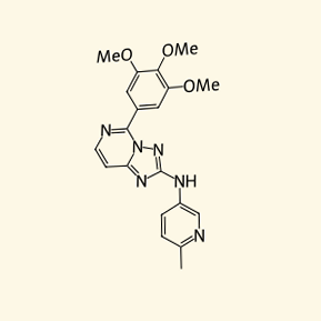 COc1cc(-c2nccc3nc(Nc4ccc(C)nc4)nn23)cc(OC)c1OC